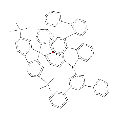 CC(C)(C)c1ccc2c(c1)C1(c3ccccc3-c3cc(N(c4cc(-c5ccccc5)cc(-c5ccccc5)c4)c4ccccc4-c4ccccc4-c4ccccc4-c4ccccc4)ccc31)c1cc(C(C)(C)C)ccc1-2